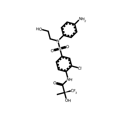 C[C@@](O)(C(=O)Nc1ccc(S(=O)(=O)N(CCO)c2ccc(N)cc2)cc1Cl)C(F)(F)F